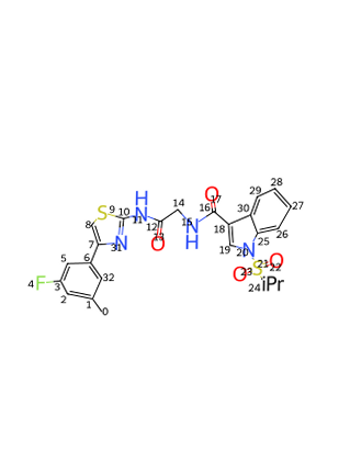 Cc1cc(F)cc(-c2csc(NC(=O)CNC(=O)c3cn(S(=O)(=O)C(C)C)c4ccccc34)n2)c1